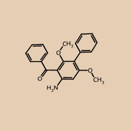 COc1cc(N)c(C(=O)c2ccccc2)c(OC)c1-c1ccccc1